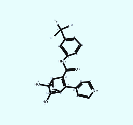 O=C(Nc1cccc(C(F)(F)F)c1)c1c(-c2ccncc2)c2oc1c(O)c2O